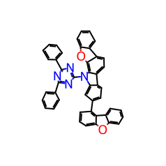 c1ccc(-c2nc(-c3ccccc3)nc(-n3c4cc(-c5cccc6oc7ccccc7c56)ccc4c4ccc5c6ccccc6oc5c43)n2)cc1